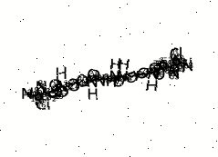 Cc1ccc(C2CN(C)Cc3c(C#N)cc(Cl)cc32)cc1S(=O)(=O)NCCOCCOCCNC(=O)NCCCCNC(=O)NCCOCCOCCNS(=O)(=O)c1cc(C2CN(C)Cc3c(C#N)cc(Cl)cc32)ccc1C